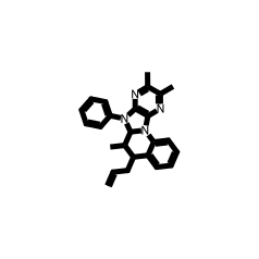 C=CCC1c2ccccc2N2c3nc(C)c(C)nc3N(c3ccccc3)C2C1C